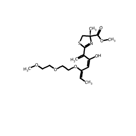 C=C(C1=N[C@@](C)(C(=O)OC)CS1)/C(O)=C\C(=C/C)OCCOCCOC